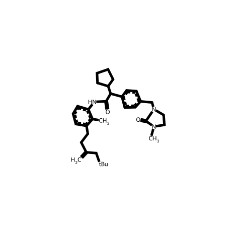 C=C(CCc1cccc(NC(=O)C(c2ccc(CN3CCN(C)C3=O)cc2)C2CCCC2)c1C)CC(C)(C)C